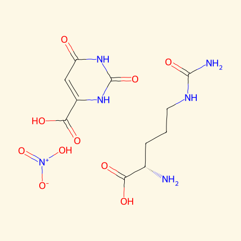 NC(=O)NCCC[C@H](N)C(=O)O.O=C(O)c1cc(=O)[nH]c(=O)[nH]1.O=[N+]([O-])O